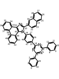 c1ccc(-c2nc(-c3ccccc3)nc(-c3ccc(-n4c(-c5ccc6ccccc6c5)nc5c6ccccc6c6ccccc6c54)cc3)n2)cc1